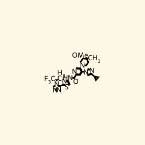 COC1(C)CCN(c2cnc(C(=O)Nc3csc(-c4nncn4[C@@H](C)C(F)(F)F)n3)cc2-n2cnc(C3CC3)c2)CC1